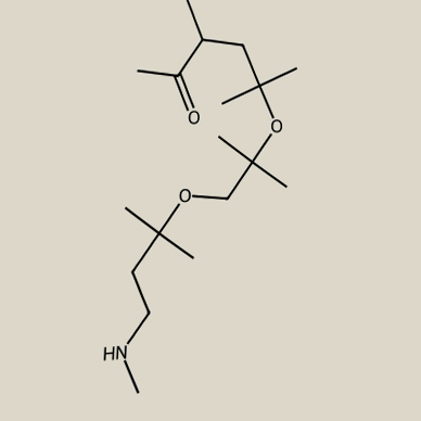 CNCCC(C)(C)OCC(C)(C)OC(C)(C)CC(C)C(C)=O